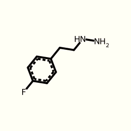 NNCCc1ccc(F)cc1